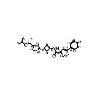 CC(C)O[C@H](C)c1nnc([C@H]2C[C@H](NC(=O)c3cc(-c4ccccc4)on3)C2)o1